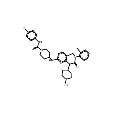 CC(=O)N1CCC(C2C(=O)N(c3ccccc3C)Cc3ccc(NC4CCN(C(=O)Nc5ccc(F)cc5)CC4)nc32)CC1